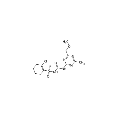 COCc1nc(C)nc(NC(=O)NS(=O)(=O)C2=C(Cl)CCCC2)n1